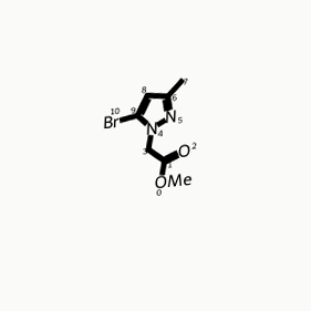 COC(=O)Cn1nc(C)cc1Br